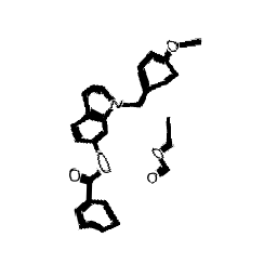 CCOC=O.COc1ccc(Cn2ccc3ccc(OC(=O)c4ccccc4)cc32)cc1